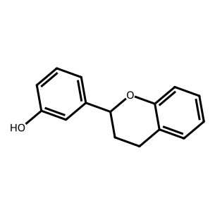 Oc1cccc(C2CCc3ccccc3O2)c1